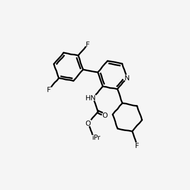 CC(C)OC(=O)Nc1c(-c2cc(F)ccc2F)ccnc1C1CCC(F)CC1